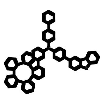 c1ccc(-c2ccc(N(c3ccc(-c4ccc5oc6ccccc6c5c4)cc3)c3cccc(-c4cccc5c6ccccc6c6ccccc6c6ccccc6c6ccccc6c45)c3)cc2)cc1